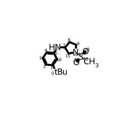 CC(C)(C)c1cccc(NC2CCN(S(C)(=O)=O)C2)c1